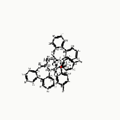 Cc1ccc(S(=O)(=O)N2c3ccccc3-c3ccccc3OP2(=O)Np2oc3ccccc3c3ccccc3n2S(=O)(=O)c2ccc(C)cc2)cc1